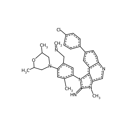 C=NCc1cc(-n2c(=N)n(C)c3cnc4ccc(-c5ccc(Cl)cc5)cc4c32)c(C)cc1N1CC(C)OC(C)C1